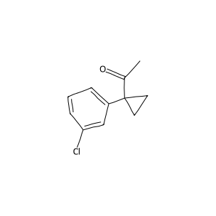 CC(=O)C1(c2cccc(Cl)c2)CC1